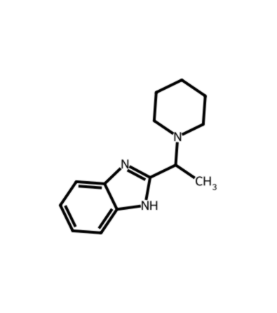 CC(c1nc2ccccc2[nH]1)N1CCCCC1